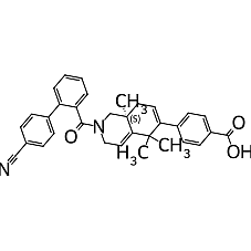 CC1(C)C(c2ccc(C(=O)O)cc2)=CC[C@]2(C)CN(C(=O)c3ccccc3-c3ccc(C#N)cc3)CC=C12